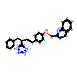 C(=CC(Cc1ccccc1)c1nnn[nH]1)c1ccc(OCc2ccc3ccccc3n2)cc1